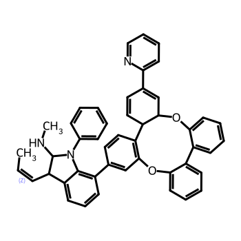 C/C=C\C1c2cccc(-c3ccc4c(c3)Oc3ccccc3-c3ccccc3OC3C=C(c5ccccn5)C=CC43)c2N(c2ccccc2)C1NC